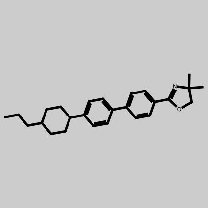 CCCC1CCC(c2ccc(-c3ccc(C4=NC(C)(C)CO4)cc3)cc2)CC1